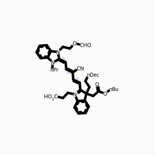 CCCCCCCCCCCCC1(CC(=O)OCCCC)C(/C=C/C(C#N)=C/C=C2\N(CCC)c3ccccc3N2CCOC=O)=[N+](CCC(=O)O)c2ccccc21